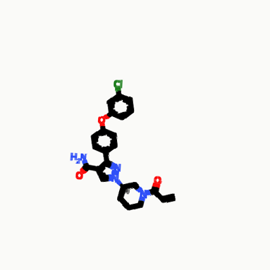 C=CC(=O)N1CCC[C@@H](n2cc(C(N)=O)c(-c3ccc(Oc4cccc(Cl)c4)cc3)n2)C1